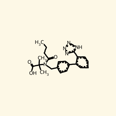 CCCC(=O)N(Cc1ccc(-c2ccccc2-c2nnn[nH]2)cc1)C(C)(C)C(=O)O